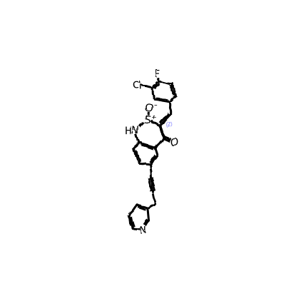 O=C1/C(=C/c2ccc(F)c(Cl)c2)[S+]([O-])Nc2ccc(C#CCc3cccnc3)cc21